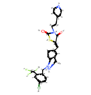 O=C1S/C(=C\c2ccc3c(cnn3Cc3ccc(Cl)cc3C(F)(F)F)c2)C(=O)N1CCc1ccncc1